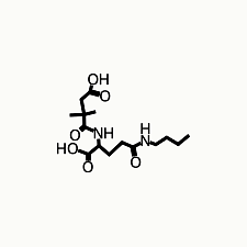 CCCCNC(=O)CCC(NC(=O)C(C)(C)CC(=O)O)C(=O)O